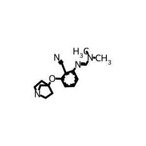 CN(C)/C=N/c1cccc(OC23CCN(CC2)C3)c1C#N